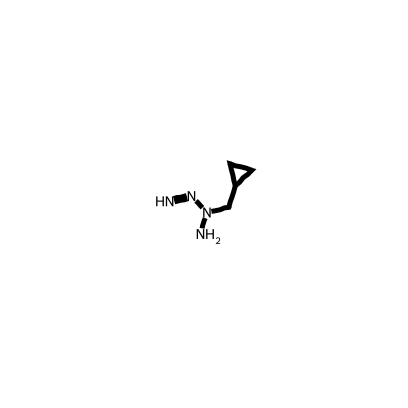 N=NN(N)CC1CC1